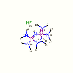 CN(C)P(=N[PH](N(C)C)(N(C)C)N(C)C)(N(C)C)N(C)C.F